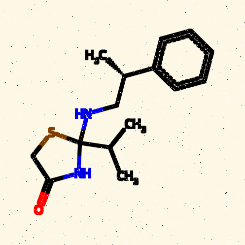 CC(C)C1(NC[C@H](C)c2ccccc2)NC(=O)CS1